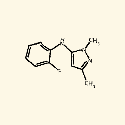 Cc1cc(Nc2ccccc2F)n(C)n1